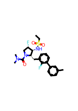 CCS(=O)(=O)N[C@H]1[C@@H](F)CN(C(=O)N(C)C)[C@H]1Cc1cccc(-c2cccc(C)c2)c1F